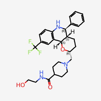 O=C(NCCO)C1CCN(C[C@H]2CC[C@@H]3[C@H](O2)c2cc(C(F)(F)F)ccc2N[C@H]3c2ccccc2)CC1